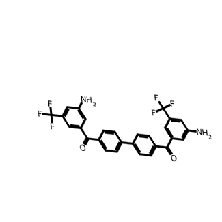 Nc1cc(C(=O)c2ccc(-c3ccc(C(=O)c4cc(N)cc(C(F)(F)F)c4)cc3)cc2)cc(C(F)(F)F)c1